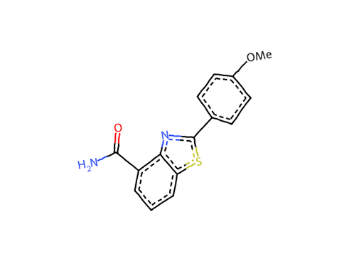 COc1ccc(-c2nc3c(C(N)=O)cccc3s2)cc1